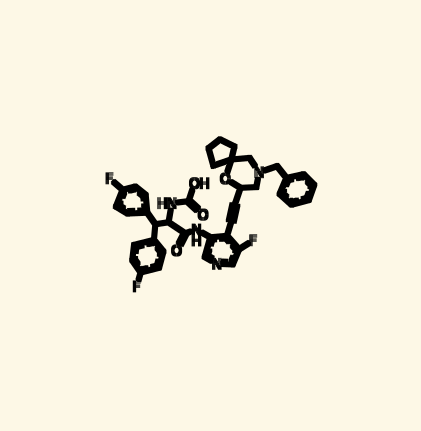 O=C(O)NC(C(=O)Nc1cncc(F)c1C#CC1CN(Cc2ccccc2)CC2(CCCC2)O1)C(c1ccc(F)cc1)c1ccc(F)cc1